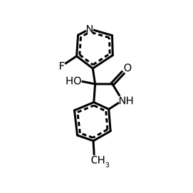 Cc1ccc2c(c1)NC(=O)C2(O)c1ccncc1F